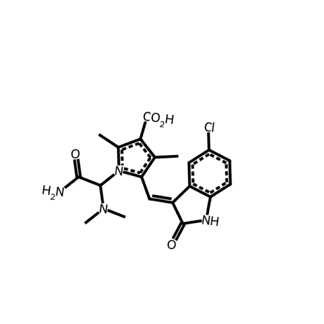 Cc1c(C(=O)O)c(C)n(C(C(N)=O)N(C)C)c1C=C1C(=O)Nc2ccc(Cl)cc21